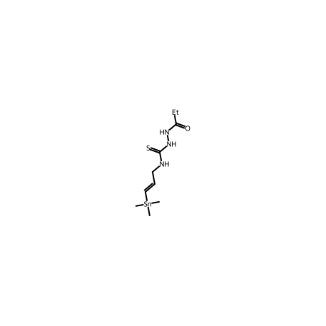 CCC(=O)NNC(=S)NCC=[CH][Sn]([CH3])([CH3])[CH3]